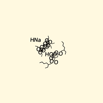 CCCCC(CC)COC(=O)CC(C(=O)OCC(CC)CCCC)S(=O)(=O)O.CCO[Si](OCC)(OCC)[O][Sn][O][Si](OCC)(OCC)OCC.[NaH]